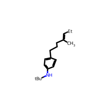 CC/C=C(\C)CCCc1ccc(NC(C)(C)C)cc1